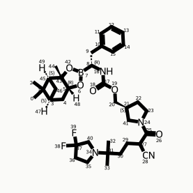 CC1(C)[C@@H]2C[C@H]3OB([C@H](Cc4ccccc4)NC(=O)OC[C@H]4CCN(C(=O)C(C#N)CCC(C)(C)N5CCC(F)(F)C5)C4)O[C@@]3(C)[C@H]1C2